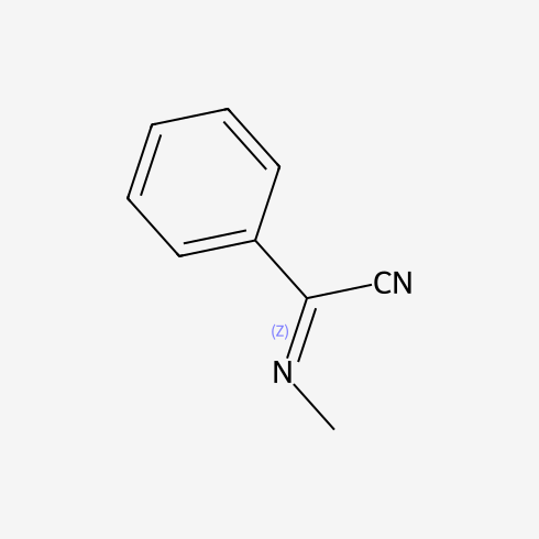 C/N=C(\C#N)c1ccccc1